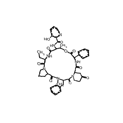 CCC1NC(=O)C(NC(=O)c2ncccc2O)C(C)OC(=O)C(c2ccccc2)NC(=O)C2CC(=O)CCN2C(=O)C(Cc2ccccc2)N(C)C(=O)C2CCCN2C1=O